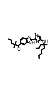 CCCCCC(C)(CCC)Nc1cn(C)c(-c2nc3ccc(C(=O)C(C)(C)CCC)cc3[nH]2)n1